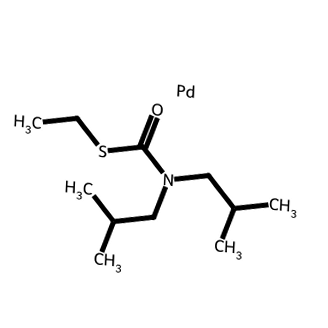 CCSC(=O)N(CC(C)C)CC(C)C.[Pd]